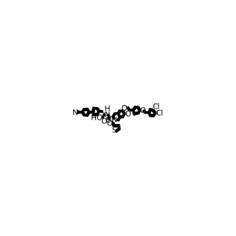 N#Cc1ccc(-c2ccc(C[C@H](NC(=O)[C@@H]3Cc4cc5c(cc4CN3C(=O)c3cccs3)OC(c3ccc(OCc4ccc(Cl)c(Cl)c4)cc3)CO5)C(=O)O)cc2)cc1